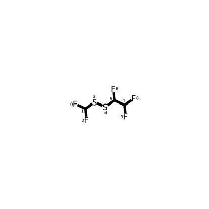 FC(F)SSC(F)C(F)F